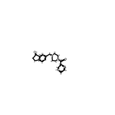 O=C1CCc2ccc(CN3CCN(C(=O)c4cnccn4)CC3)cc21